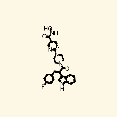 O=C(NO)c1cnc(N2CCN(C(=O)/C(=C/c3ccc(F)cc3)c3c[nH]c4ccccc34)CC2)nc1